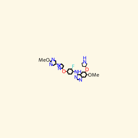 COc1ncc(-n2ccc(Oc3ccc(Nc4ncnc5cc(OC)c(O[C@H]6CCNC6)cc45)c(F)c3)n2)cn1